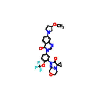 COC1CCN(c2ccc3c(=O)n(-c4ccc(OC(F)(F)F)c(NC(=O)C5(N6CCOCC6)CC5)c4)cnc3c2)C1